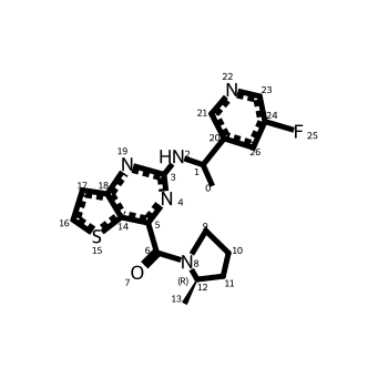 CC(Nc1nc(C(=O)N2CCC[C@H]2C)c2sccc2n1)c1cncc(F)c1